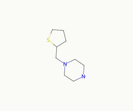 C1CSC(CN2CC[N]CC2)C1